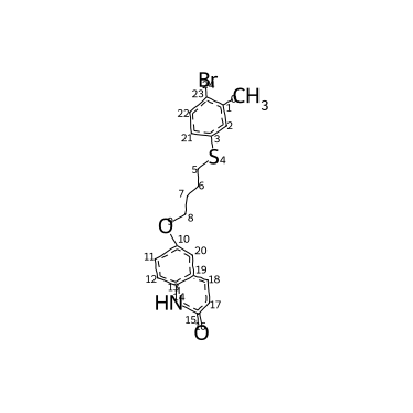 Cc1cc(SCCCCOc2ccc3[nH]c(=O)ccc3c2)ccc1Br